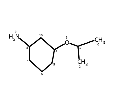 CC(C)OC1CCCC(N)C1